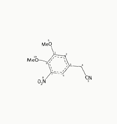 COc1cc(CC#N)cc([N+](=O)[O-])c1OC